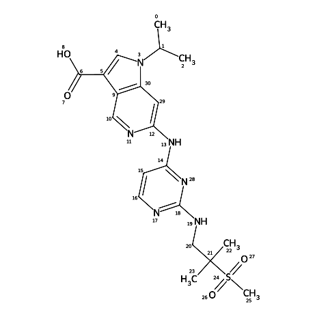 CC(C)n1cc(C(=O)O)c2cnc(Nc3ccnc(NCC(C)(C)S(C)(=O)=O)n3)cc21